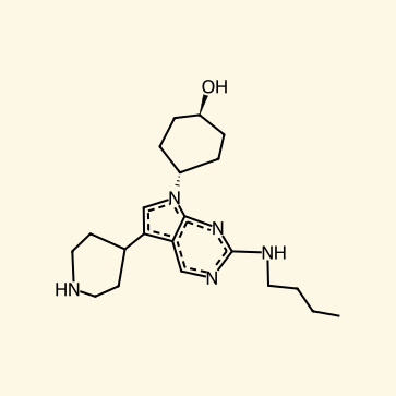 CCCCNc1ncc2c(C3CCNCC3)cn([C@H]3CC[C@H](O)CC3)c2n1